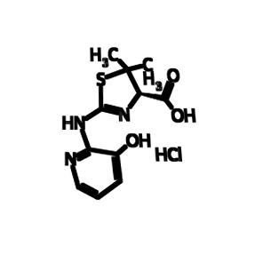 CC1(C)SC(Nc2ncccc2O)=N[C@@H]1C(=O)O.Cl